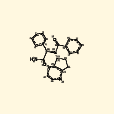 NC(=O)[C@@H](c1ccccc1)N(C(=O)c1ccccc1)[C@@H]1CCc2ncccc21